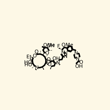 CC[C@H]1OC(=O)[C@H](C)[C@@H](C2C[C@@](C)(OC)[C@@H](O)[C@H](C)O2)[C@H](C)[C@@H](O[C@@H]2O[C@H](C)C[C@H](N(C)CCc3cn([C@H](CF)[C@H](OC)c4ccc(CN5CCN(C(=O)CO)CC5)cc4)nn3)[C@H]2O)[C@](C)(O)C[C@@H](C)CN(C)[C@H](C)[C@@H](O)[C@]1(C)O